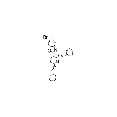 Brc1ccc2nc(-c3ccc(OCc4ccccc4)nc3OCc3ccccc3)oc2c1